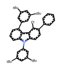 CCc1c(-c2ccccc2)ccc2c1c1c(-c3cc(C(C)(C)C)cc(C(C)(C)C)c3)cccc1n2-c1cc(C(C)(C)C)cc(C(C)(C)C)c1